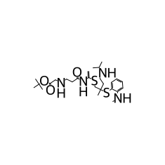 C=C(NC(=O)CCNCC(=O)OC(C)(C)C)SCC(C)(CCNC(C)C)Sc1ccccc1NC